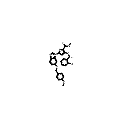 COC(=O)c1sc(-n2cnc3ccc(OCc4ccc(OC)cc4)cc32)cc1O[C@H](C)c1ccccc1Cl